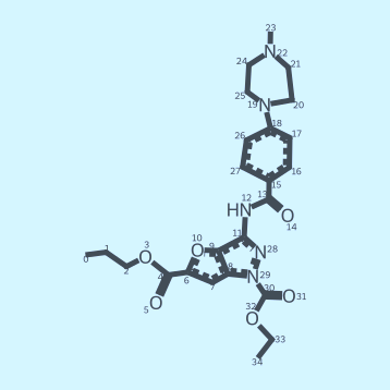 CCCOC(=O)c1cc2c(o1)c(NC(=O)c1ccc(N3CCN(C)CC3)cc1)nn2C(=O)OCC